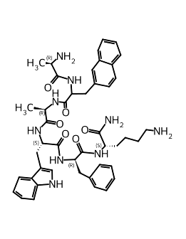 C[C@@H](N)C(=O)NC(Cc1ccc2ccccc2c1)C(=O)N[C@H](C)C(=O)N[C@@H](Cc1c[nH]c2ccccc12)C(=O)N[C@H](Cc1ccccc1)C(=O)N[C@@H](CCCCN)C(N)=O